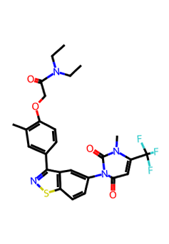 CCN(CC)C(=O)COc1ccc(-c2nsc3ccc(-n4c(=O)cc(C(F)(F)F)n(C)c4=O)cc23)cc1C